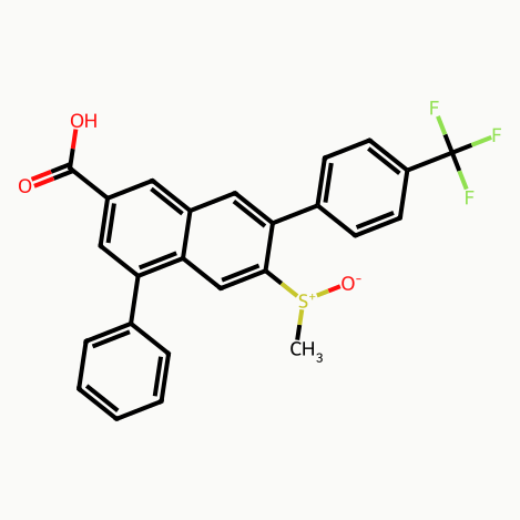 C[S+]([O-])c1cc2c(-c3ccccc3)cc(C(=O)O)cc2cc1-c1ccc(C(F)(F)F)cc1